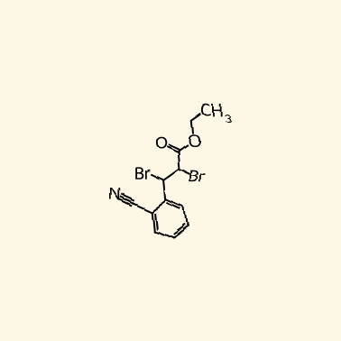 CCOC(=O)C(Br)C(Br)c1ccccc1C#N